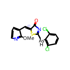 COc1ncccc1/C=C1\SC([AsH]c2c(Cl)cccc2Cl)=NC1=O